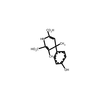 CC1=C(C(=O)O)NC(C(=O)O)=CC1(C)c1ccc(O)cc1